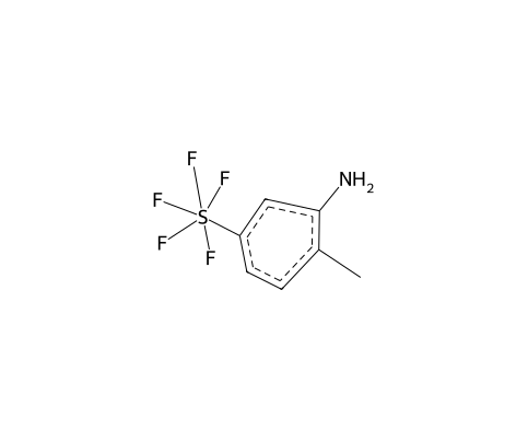 Cc1ccc(S(F)(F)(F)(F)F)cc1N